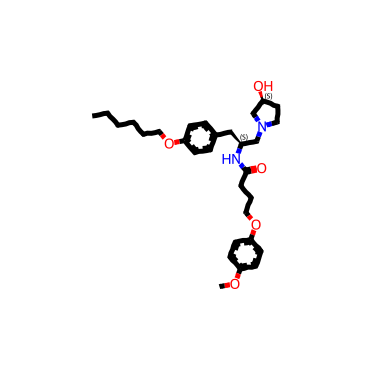 CCCCCCOc1ccc(C[C@@H](CN2CC[C@H](O)C2)NC(=O)CCCOc2ccc(OC)cc2)cc1